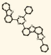 c1ccc(-c2nc(-c3cccc4c3oc3ccccc34)nc(-c3cccc4c3oc3ccc5nc(-c6ccccc6)oc5c34)n2)cc1